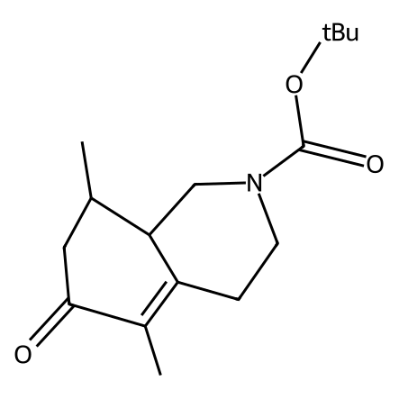 CC1=C2CCN(C(=O)OC(C)(C)C)CC2C(C)CC1=O